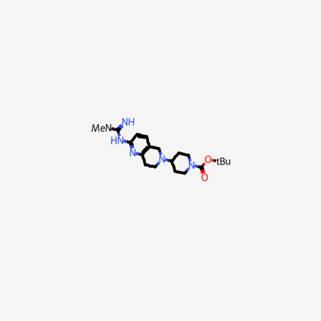 CNC(=N)Nc1ccc2c(n1)CCN(C1CCN(C(=O)OC(C)(C)C)CC1)C2